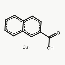 O=C(O)c1ccc2ccccc2c1.[Cu]